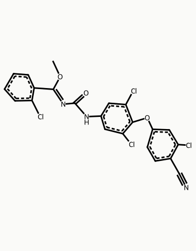 CO/C(=N\C(=O)Nc1cc(Cl)c(Oc2ccc(C#N)c(Cl)c2)c(Cl)c1)c1ccccc1Cl